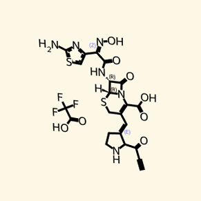 C#CC(=O)C1NCC/C1=C\C1=C(C(=O)O)N2C(=O)[C@@H](NC(=O)/C(=N\O)c3csc(N)n3)[C@H]2SC1.O=C(O)C(F)(F)F